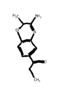 CCC(=O)c1ccc2c(c1)N=C(N)C(C)O2